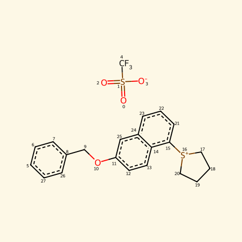 O=S(=O)([O-])C(F)(F)F.c1ccc(COc2ccc3c([S+]4CCCC4)cccc3c2)cc1